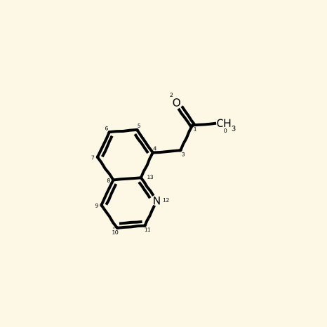 CC(=O)Cc1cccc2c[c]cnc12